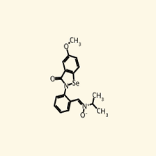 COc1ccc2[se]n(-c3ccccc3C=[N+]([O-])C(C)C)c(=O)c2c1